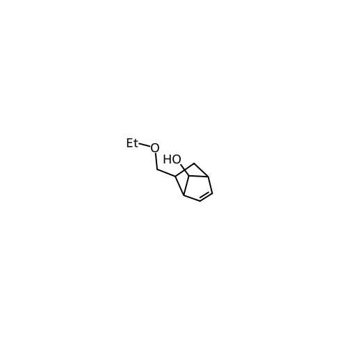 CCOCC1CC2C=CC1C2O